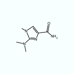 CN(C)c1nc(C(N)=O)cn1C